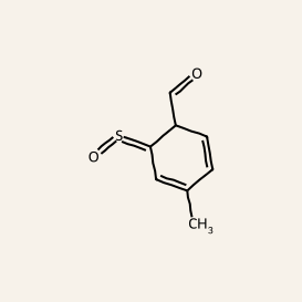 CC1=CC(=S=O)C(C=O)C=C1